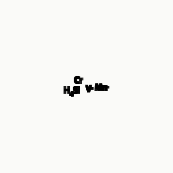 [Cr].[Mn].[SiH4].[V]